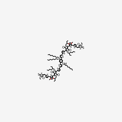 CCCCCCCC[SiH]1c2cc3c(cc2-c2sc(-c4ccc(C5=C6C(=O)N(CC(CC)CCCC)C(c7ccc(-c8ccc(/C=C9/SC(=S)N(CC)C9=O)s8)s7)=C6C(=O)N5CC(CC)CCCC)s4)cc21)[Si](CCCCCCCC)(CCCCCCCC)c1cc(-c2ccc(C4=C5C(=O)N(CC(CC)CCCC)C(c6ccc(-c7ccc(/C=C8/SC(=S)N(CC)C8=O)s7)s6)=C5C(=O)N4CC(CC)CCCC)s2)sc1-3